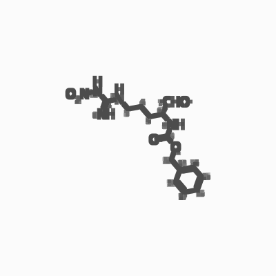 N=C(NCCC[C@@H]([C]=O)NC(=O)OCc1ccccc1)N[N+](=O)[O-]